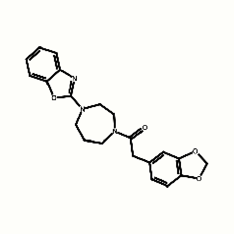 O=C(Cc1ccc2c(c1)OCO2)N1CCCN(c2nc3ccccc3o2)CC1